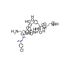 C=C/C(=C\C=C(/C)C(=O)N[C@@H](CCCCN)C(=O)N(C)[C@@H]1C(=O)N[C@@H](C)C(=O)N[C@H](C(=O)N[C@@H](C)C(=O)CCc2cc[nH]n2)Cc2ccc(O)c(c2)-c2cc1ccc2O)c1ccc(Cl)cc1